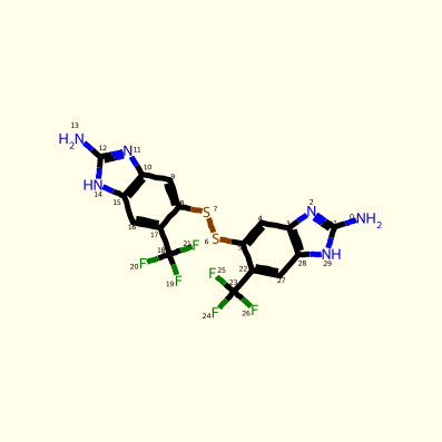 Nc1nc2cc(SSc3cc4nc(N)[nH]c4cc3C(F)(F)F)c(C(F)(F)F)cc2[nH]1